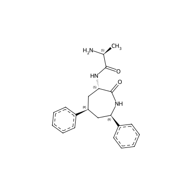 C[C@H](N)C(=O)N[C@H]1C[C@H](c2ccccc2)C[C@H](c2ccccc2)NC1=O